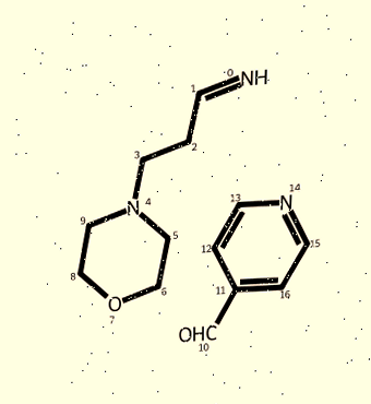 N=CCCN1CCOCC1.O=Cc1ccncc1